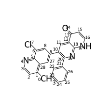 Cc1ccnc2c(Cl)cc(-c3cc4c(=O)cc[nH]c4nc3-c3ccccc3)cc12